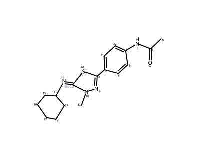 CC(=O)Nc1ccc(-c2nn(C)/c(=N\C3CCCCC3)s2)cc1